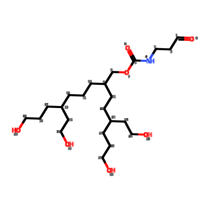 O=CCCNC(=O)OCC(CCCC(CCO)CCCO)CCC(CCO)CCCO